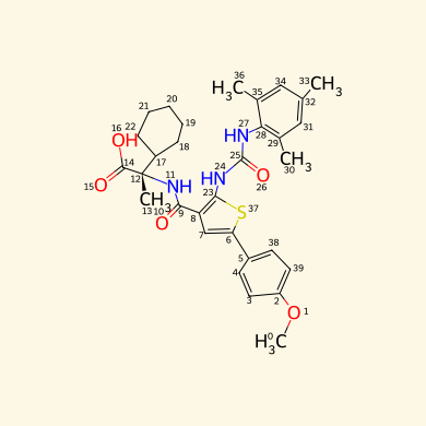 COc1ccc(-c2cc(C(=O)N[C@](C)(C(=O)O)C3CCCCC3)c(NC(=O)Nc3c(C)cc(C)cc3C)s2)cc1